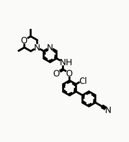 CC1CN(c2ccc(NC(=O)Oc3cccc(-c4ccc(C#N)cc4)c3Cl)cn2)CC(C)O1